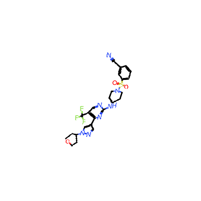 N#Cc1cccc(S(=O)(=O)N2CCC(Nc3ncc(C(F)(F)F)c(-c4cnn(C5CCOCC5)c4)n3)CC2)c1